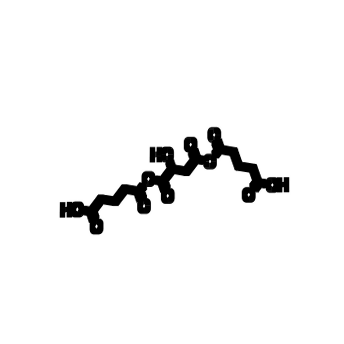 O=C(O)CCCC(=O)OC(=O)CC(O)C(=O)OC(=O)CCCC(=O)O